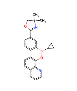 CC1(C)COC(c2cccc(B(Oc3cccc4cccnc34)C3CC3)c2)=N1